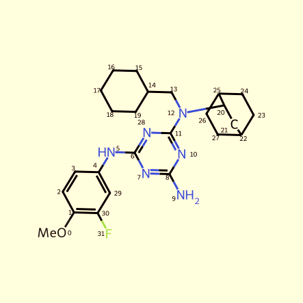 COc1ccc(Nc2nc(N)nc(N(CC3CCCCC3)C3CC4CCC3CC4)n2)cc1F